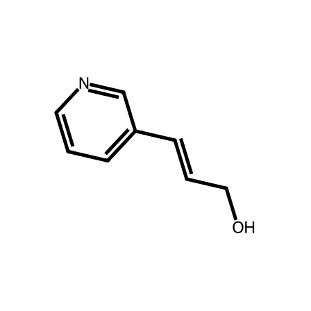 OCC=Cc1cccnc1